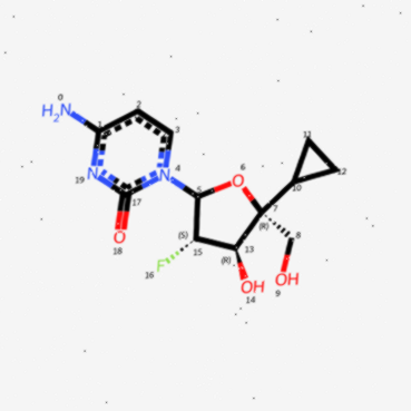 Nc1ccn(C2O[C@@](CO)(C3CC3)[C@@H](O)[C@@H]2F)c(=O)n1